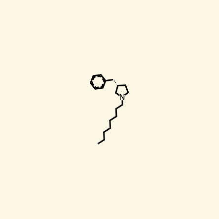 CCCCCCCCN1CC[C@@H](Cc2ccccc2)C1